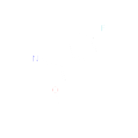 CCOC=C(C#N)c1ccc(F)cc1